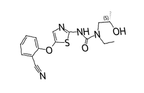 CCN(C[C@H](C)O)C(=O)Nc1ncc(Oc2ccccc2C#N)s1